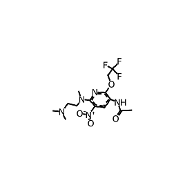 CC(=O)Nc1cc([N+](=O)[O-])c(N(C)CCN(C)C)nc1OCC(F)(F)F